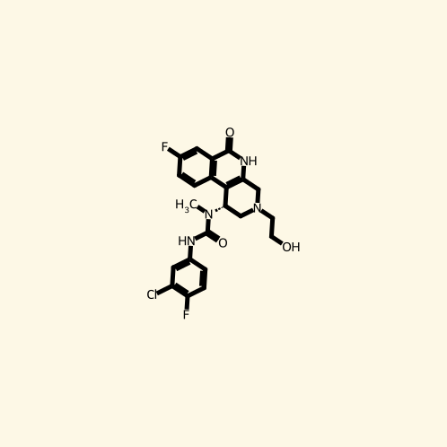 CN(C(=O)Nc1ccc(F)c(Cl)c1)[C@H]1CN(CCO)Cc2[nH]c(=O)c3cc(F)ccc3c21